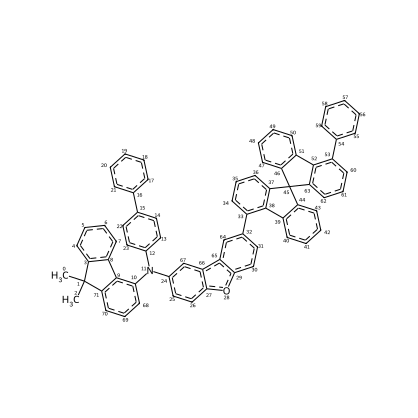 CC1(C)c2ccccc2-c2c(N(c3ccc(-c4ccccc4)cc3)c3ccc4oc5ccc(-c6cccc7c6-c6ccccc6C76c7ccccc7-c7c(-c8ccccc8)cccc76)cc5c4c3)cccc21